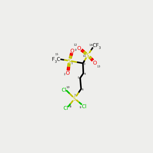 O=S(=O)(C(CCCS(Cl)(Cl)Cl)S(=O)(=O)C(F)(F)F)C(F)(F)F